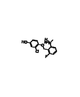 CN(N)c1cccc(F)c1COc1ccc(O)cc1Cl